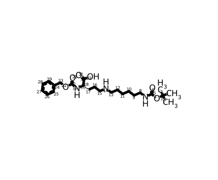 CC(C)(C)OC(=O)NCCCCCCNCCC[C@H](NC(=O)OCc1ccccc1)C(=O)O